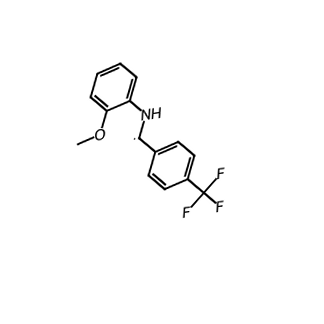 COc1ccccc1N[CH]c1ccc(C(F)(F)F)cc1